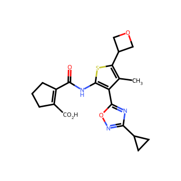 Cc1c(C2COC2)sc(NC(=O)C2=C(C(=O)O)CCC2)c1-c1nc(C2CC2)no1